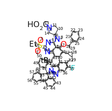 CCS(=O)(=O)c1nc(N(C)[C@H]2CCN(C(=O)O)C2)c2c(OC(C)c3ccccc3)c(C3CC3)c(-c3c(C)c(F)cc4nn(C(c5ccccc5)(c5ccccc5)c5ccccc5)cc34)c(C(C)(C)C)c2n1